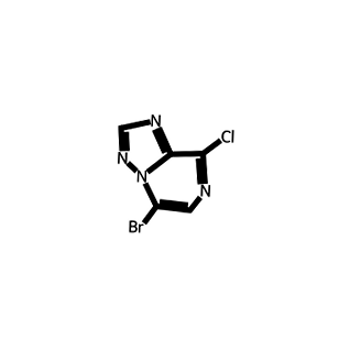 Clc1ncc(Br)n2ncnc12